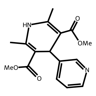 COC(=O)C1=C(C)NC(C)=C(C(=O)OC)C1c1cccnc1